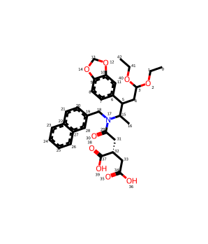 CCOC(CC(c1ccc2c(c1)OCO2)C(C)N(Cc1ccc2ccccc2c1)C(=O)C[C@H](CC(=O)O)C(=O)O)OCC